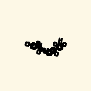 O=C1CCC(N2Cc3cc(CNC(=O)c4noc5cc(Cl)ccc45)ccc3C2=O)C(=O)N1